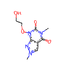 Cn1cc2c(=O)n(C)c(=O)n(OCCO)c2n1